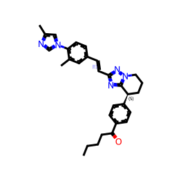 CCCCC(=O)c1ccc([C@@H]2CCCn3nc(/C=C/c4ccc(-n5cnc(C)c5)c(C)c4)nc32)cc1